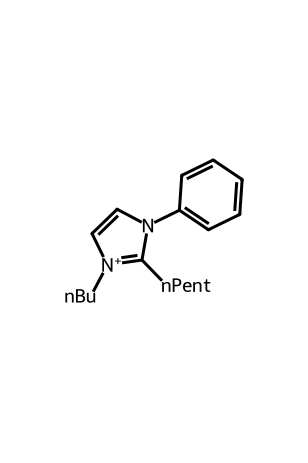 CCCCCc1n(-c2ccccc2)cc[n+]1CCCC